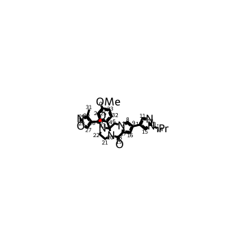 COc1ccc(C23Cn4cc(-c5cnn(C(C)C)c5)cc4C(=O)N2CCN3C(=O)c2conc2C)cc1